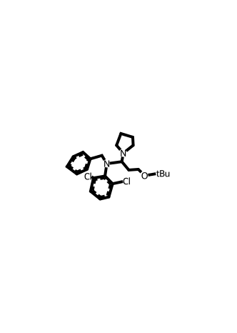 CC(C)(C)OCCC(N1CCCC1)N(Cc1ccccc1)c1c(Cl)cccc1Cl